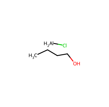 CCCCO.[AlH2][Cl]